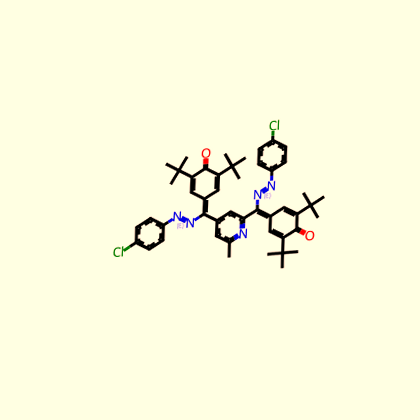 Cc1cc(C(/N=N/c2ccc(Cl)cc2)=C2C=C(C(C)(C)C)C(=O)C(C(C)(C)C)=C2)cc(C(/N=N/c2ccc(Cl)cc2)=C2C=C(C(C)(C)C)C(=O)C(C(C)(C)C)=C2)n1